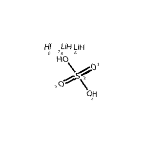 I.O=S(=O)(O)O.[LiH].[LiH]